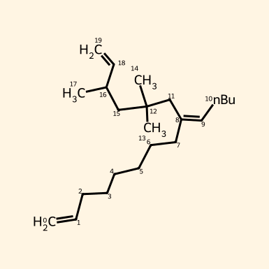 C=CCCCCCCC(=CCCCC)CC(C)(C)CC(C)C=C